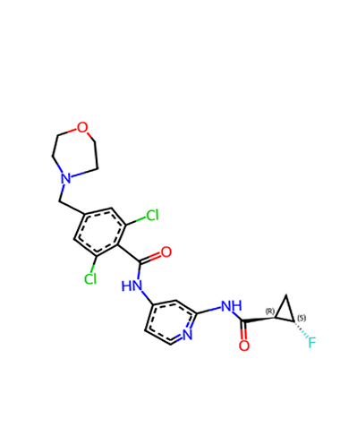 O=C(Nc1ccnc(NC(=O)[C@H]2C[C@@H]2F)c1)c1c(Cl)cc(CN2CCOCC2)cc1Cl